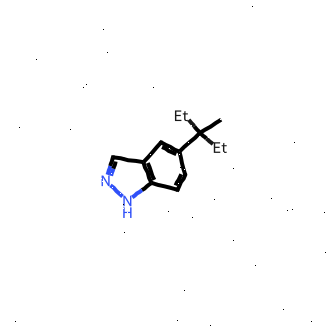 CCC(C)(CC)c1ccc2[nH]ncc2c1